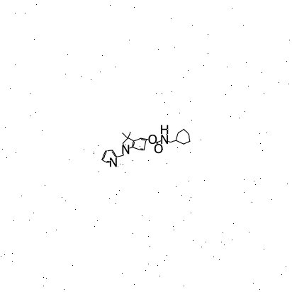 CC1(C)CN(Cc2ccccn2)c2ccc(OC(=O)NCC3CCCCC3)cc21